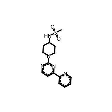 CS(=O)(=O)NC1CCN(c2nccc(-c3ccccn3)n2)CC1